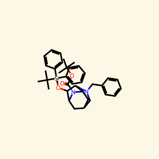 CC(C)(C)OC(=O)N1C2CC3CC1C(C2O[Si](c1ccccc1)(c1ccccc1)C(C)(C)C)N(Cc1ccccc1)C3